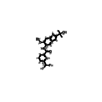 CCOc1cc2nc(C(C)(C)O)cn2cc1NC(=O)c1cccc(C(F)F)n1